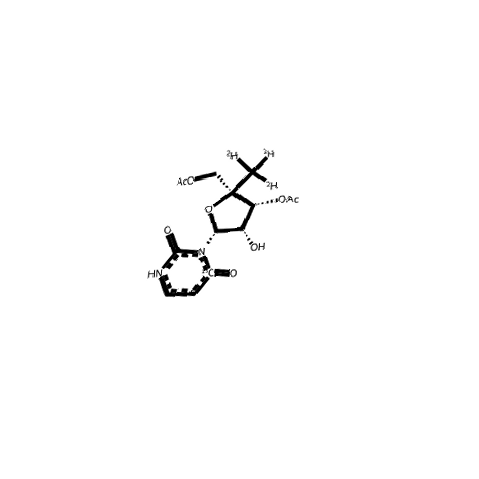 [2H]C([2H])([2H])[C@]1(COC(C)=O)O[C@@H](n2c(=O)[nH]cc[13c]2=O)[C@@H](O)[C@H]1OC(C)=O